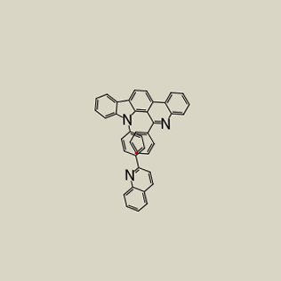 c1ccc(-c2nc3ccccc3c3ccc4c5ccccc5n(-c5ccc(-c6ccc7ccccc7n6)cc5)c4c23)cc1